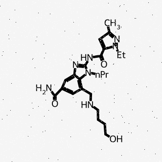 CCCn1c(NC(=O)c2cc(C)nn2CC)nc2cc(C(N)=O)cc(CNCCCCO)c21